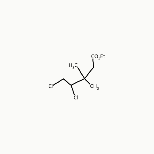 CCOC(=O)CC(C)(C)C(Cl)CCl